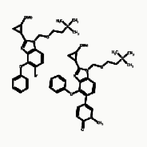 COC1CC1c1nc2c(Oc3ccccc3)c(-c3ccc(=O)n(C)c3)ccc2n1COCC[Si](C)(C)C.COC1CC1c1nc2c(Oc3ccccc3)c(Br)ccc2n1COCC[Si](C)(C)C